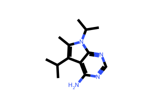 Cc1c(C(C)C)c2c(N)ncnc2n1C(C)C